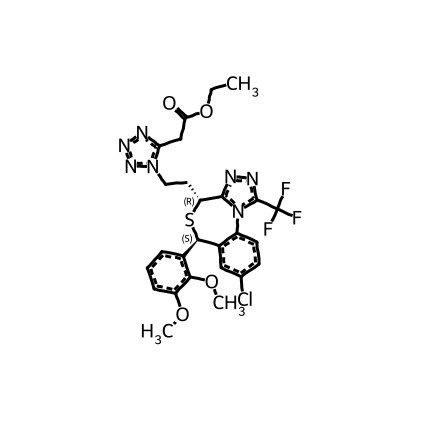 CCOC(=O)Cc1nnnn1CC[C@H]1S[C@H](c2cccc(OC)c2OC)c2cc(Cl)ccc2-n2c1nnc2C(F)(F)F